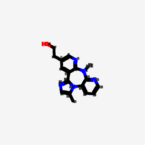 CCN1c2ncc(CCO)cc2-c2ncc(C)n2-c2cccnc21